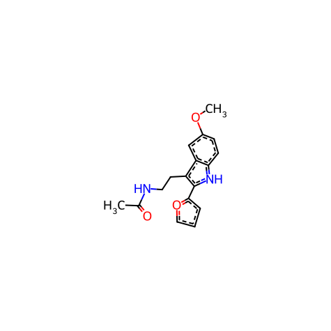 COc1ccc2[nH]c(-c3ccco3)c(CCNC(C)=O)c2c1